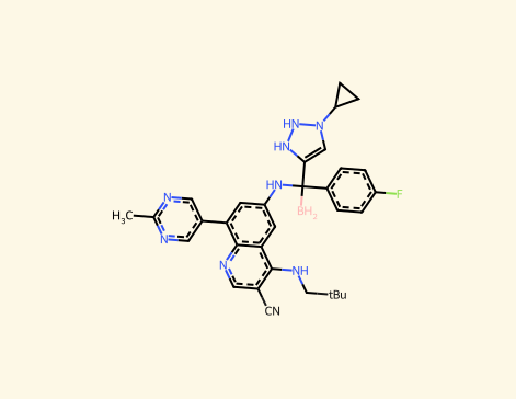 BC(Nc1cc(-c2cnc(C)nc2)c2ncc(C#N)c(NCC(C)(C)C)c2c1)(C1=CN(C2CC2)NN1)c1ccc(F)cc1